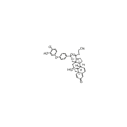 C[C@]12C=CC(=O)C=C1CC[C@H]1[C@@H]3CC[C@](OC(=O)c4ccc(Oc5ccc(Cl)c(O)c5)cc4)(C(=O)SCC#N)[C@@]3(C)C[C@H](O)[C@@]12F